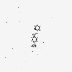 O=[SH](=O)c1ccc(NCc2ccccn2)cc1